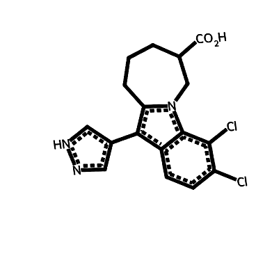 O=C(O)C1CCCc2c(-c3cn[nH]c3)c3ccc(Cl)c(Cl)c3n2C1